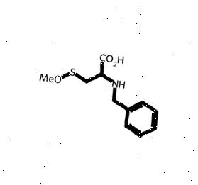 COSCC(NCc1ccccc1)C(=O)O